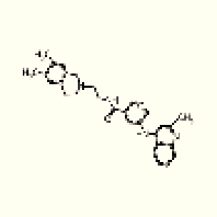 Cc1cc(Nc2cccc(C(=O)NCCN3CCc4cc(C)c(C)cc4C3)c2)c2ccccc2n1